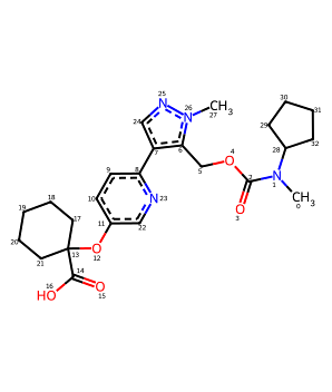 CN(C(=O)OCc1c(-c2ccc(OC3(C(=O)O)CCCCC3)cn2)cnn1C)C1CCCC1